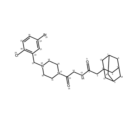 O=C(CC12CC3CC(CC(C3)C1)C2)NCC(=O)N1CCN(Cc2cc(Br)ccc2Cl)CC1